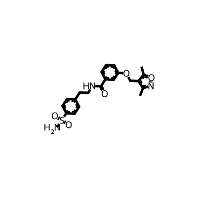 Cc1noc(C)c1COc1cccc(C(=O)NCCc2ccc(S(N)(=O)=O)cc2)c1